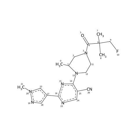 CC1CN(C(=O)C(C)(C)CF)CCN1c1nc(-c2cnn(C)c2)ncc1C#N